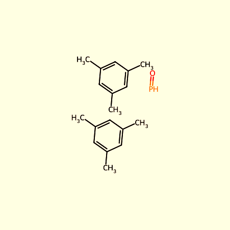 Cc1cc(C)cc(C)c1.Cc1cc(C)cc(C)c1.O=P